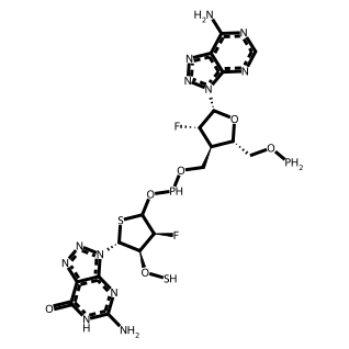 Nc1nc2c(nnn2[C@@H]2SC(OPOC[C@H]3[C@H](F)[C@H](n4nnc5c(N)ncnc54)O[C@@H]3COP)[C@@H](F)[C@H]2OS)c(=O)[nH]1